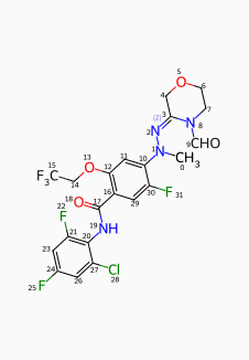 CN(/N=C1/COCCN1C=O)c1cc(OCC(F)(F)F)c(C(=O)Nc2c(F)cc(F)cc2Cl)cc1F